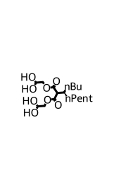 CCCCC[C@H](CCCC)C(C(=O)OCC(O)O)C(=O)OCC(O)O